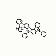 c1ccc(-n2c3ccccc3c3c4c5ccc6c7ncccc7c7nccn7c6c5n(-c5ccccc5)c4ccc32)cc1